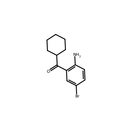 Nc1ccc(Br)cc1C(=O)C1CCCCC1